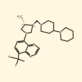 C[C@H]1CN(c2ccc(C(F)(F)F)c3nccnc23)C[C@@H]1CN1CCC(N2CCCCC2)CC1